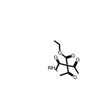 CCOC(=O)C(C(C)=O)(C(C)=O)C(C)=O.[AlH3]